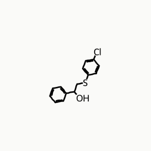 OC(CSc1ccc(Cl)cc1)c1ccccc1